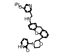 CC(C)Oc1cncc(CNc2ccc3c(c2)Cc2cccc(C4CN(c5ccc[nH]c5=O)CCO4)c2O3)c1